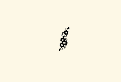 CCOc1ccc(OC(=O)c2ccc3c(c2F)C(F)(F)C(F)(F)c2c-3ccc(OCC)c2F)c(F)c1